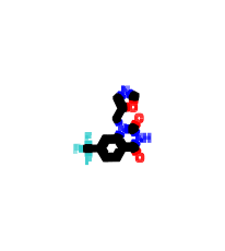 O=c1[nH]c(=O)n(Cc2cnco2)c2cc(C(F)(F)F)ccc12